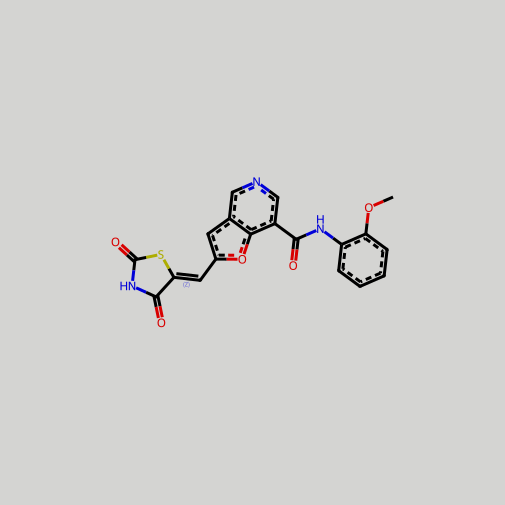 COc1ccccc1NC(=O)c1cncc2cc(/C=C3\SC(=O)NC3=O)oc12